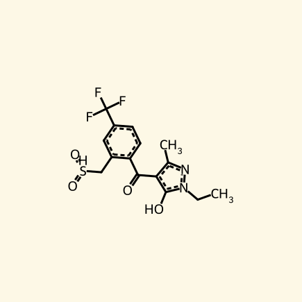 CCn1nc(C)c(C(=O)c2ccc(C(F)(F)F)cc2C[SH](=O)=O)c1O